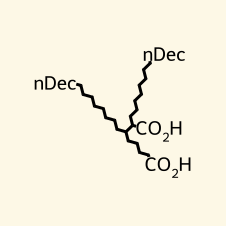 CCCCCCCCCCCCCCCCCCC(CCCCC(=O)O)C(CCCCCCCCCCCCCCCCCC)C(=O)O